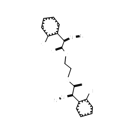 [N-]=[N+]=C(C(=O)OCCOC(=O)C(=[N+]=[N-])c1ccccc1Cl)c1ccccc1Cl